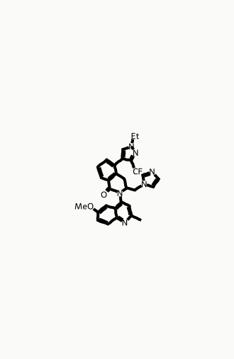 CCn1cc(-c2cccc3c2CC(Cn2ccnc2)N(c2cc(C)nc4ccc(OC)cc24)C3=O)c(C(F)(F)F)n1